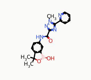 Cn1nc(C(=O)Nc2ccc3c(c2)B(O)OC3(C)C)nc1-c1ccccn1